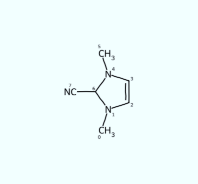 CN1C=CN(C)C1C#N